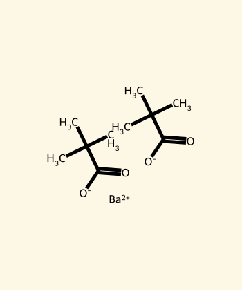 CC(C)(C)C(=O)[O-].CC(C)(C)C(=O)[O-].[Ba+2]